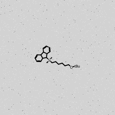 CC(C)(C)OCCCCCC[Si](C)(C)C1C2C=CC=CC2C2C=CC=CC21